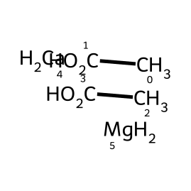 CC(=O)O.CC(=O)O.[CaH2].[MgH2]